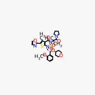 COc1ccccc1[C@H](CN1c2sc(-c3ncco3)c(C)c2C(=O)N(C(C)(C)C(=O)N2CCCC2)S1(=O)=O)OC1CCOCC1